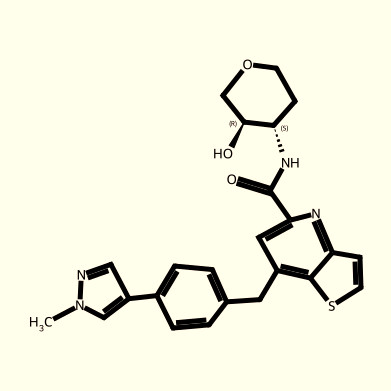 Cn1cc(-c2ccc(Cc3cc(C(=O)N[C@H]4CCOC[C@@H]4O)nc4ccsc34)cc2)cn1